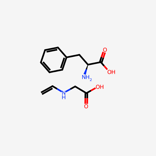 C=CNCC(=O)O.N[C@@H](Cc1ccccc1)C(=O)O